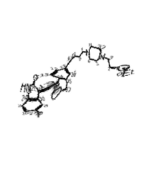 CCOCCN1CCN(CCCc2ccc3c(c2)COC3=C2C(=O)Nc3ccc(F)cc32)CC1